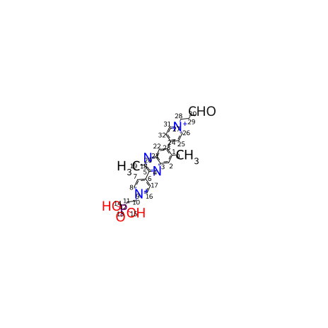 Cc1cc2nc(-c3cc[n+](CCP(=O)(O)O)cc3)c(C)nc2cc1-c1cc[n+](CCC=O)cc1